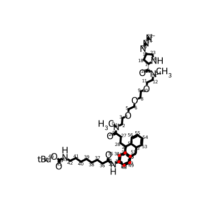 CN(CCOCCOCCOCCN(C)C(=O)[C@@H]1C[C@H](N=[N+]=[N-])CN1)C(=O)CCC12c3cc(NC(=O)CCCCCCCNC(=O)OC(C)(C)C)ccc3C(C3C=CC=CC31)C1C=CC=CC12